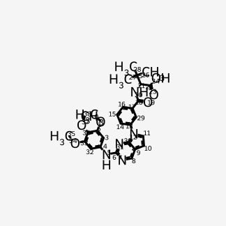 COc1cc(Nc2ncc3ccn(-c4cccc(C(=O)N[C@@H](C(=O)O)C(C)(C)C)c4)c3n2)cc(OC)c1OC